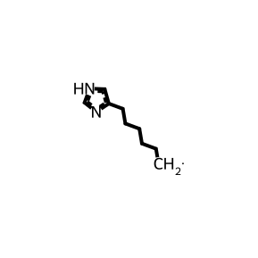 [CH2]CCCCCc1c[nH]cn1